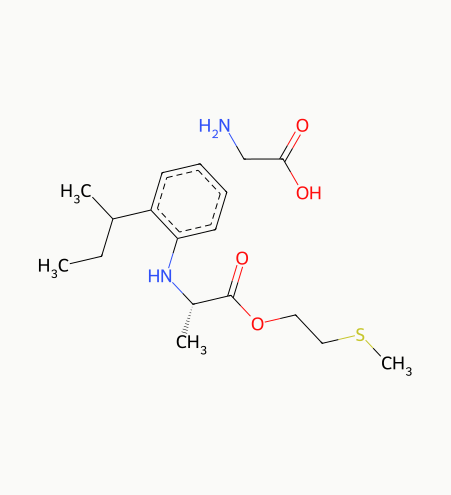 CCC(C)c1ccccc1N[C@@H](C)C(=O)OCCSC.NCC(=O)O